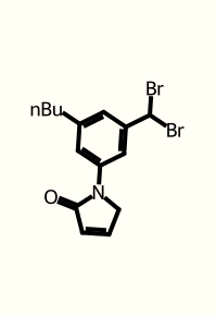 CCCCc1cc(C(Br)Br)cc(N2CC=CC2=O)c1